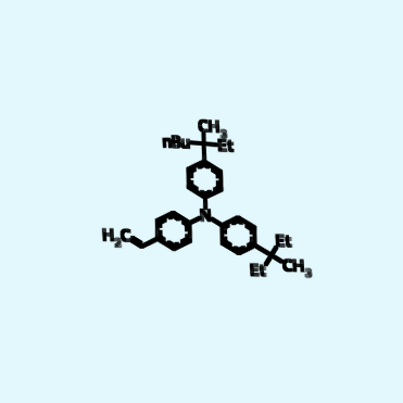 C=Cc1ccc(N(c2ccc(C(C)(CC)CC)cc2)c2ccc(C(C)(CC)CCCC)cc2)cc1